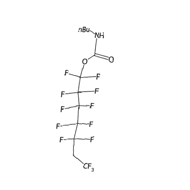 CCCCNC(=O)OC(F)(F)C(F)(F)C(F)(F)C(F)(F)C(F)(F)CC(F)(F)F